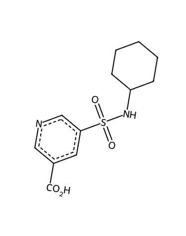 O=C(O)c1cncc(S(=O)(=O)NC2CCCCC2)c1